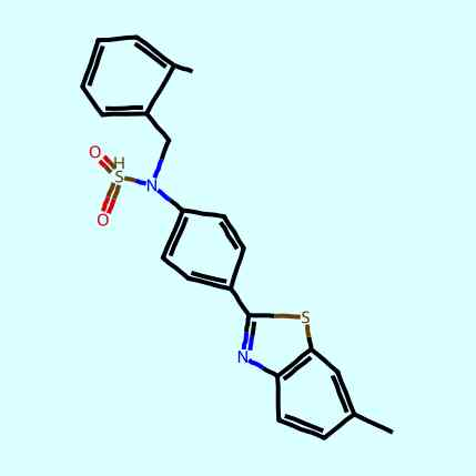 Cc1ccc2nc(-c3ccc(N(Cc4ccccc4C)[SH](=O)=O)cc3)sc2c1